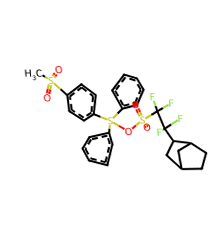 CS(=O)(=O)c1ccc(S(OS(=O)(=O)C(F)(F)C(F)(F)C2CC3CCC2C3)(c2ccccc2)c2ccccc2)cc1